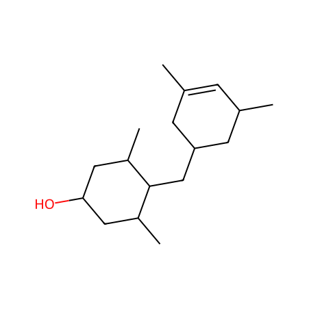 CC1=CC(C)CC(CC2C(C)CC(O)CC2C)C1